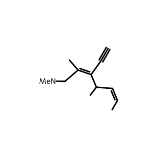 C#C/C(=C(\C)CNC)C(C)/C=C\C